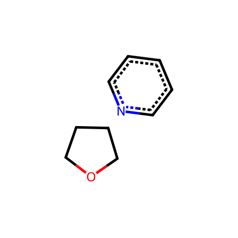 C1CCOC1.c1ccncc1